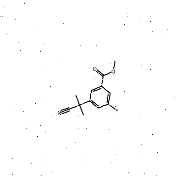 COC(=O)c1cc(F)cc(C(C)(C)C#N)c1